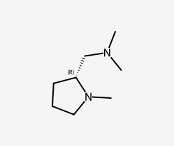 CN(C)C[C@H]1CCCN1C